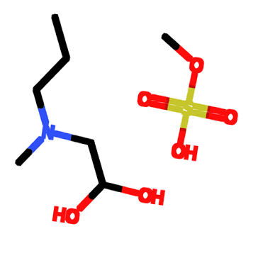 CCCN(C)CC(O)O.COS(=O)(=O)O